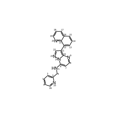 c1ccc(CNc2ccnc3c(-c4cccc5cccnc45)cnn23)nc1